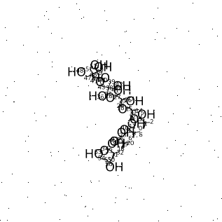 C=C(C)C(=O)O.C=C(C)C(=O)O.C=C(C)C(=O)O.C=C(C)C(=O)O.C=C(C)C(=O)O.C=C(C)C(=O)O.OCC(CO)(CO)COCC(CO)(CO)CO.OCCO